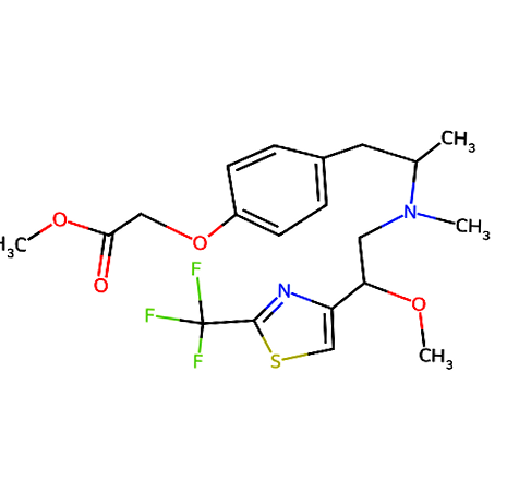 COC(=O)COc1ccc(CC(C)N(C)CC(OC)c2csc(C(F)(F)F)n2)cc1